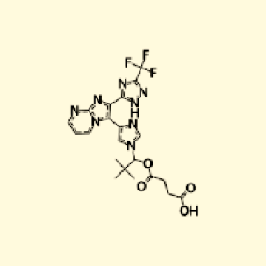 CC(C)(C)C(OC(=O)CCC(=O)O)n1cnc(-c2c(-c3nc(C(F)(F)F)n[nH]3)nc3ncccn23)c1